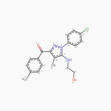 Cc1ccc(C(=O)c2nn(-c3ccc(Cl)cc3)c(NCCO)c2C#N)cc1